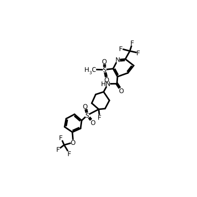 CS(=O)(=O)c1nc(C(F)(F)F)ccc1C(=O)NC1CCC(F)(S(=O)(=O)c2cccc(OC(F)(F)F)c2)CC1